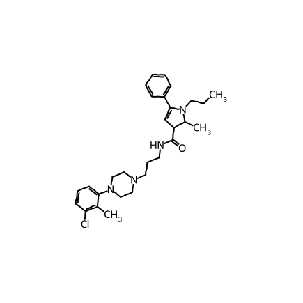 CCCN1C(c2ccccc2)=CC(C(=O)NCCCN2CCN(c3cccc(Cl)c3C)CC2)C1C